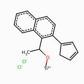 CC([O][Ti+2])c1c(C2=CC=CC2)ccc2ccccc12.[Cl-].[Cl-]